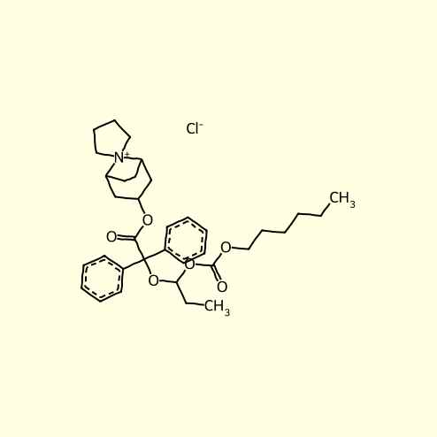 CCCCCCOC(=O)OC(CC)OC(C(=O)OC1CC2CCC(C1)[N+]21CCCC1)(c1ccccc1)c1ccccc1.[Cl-]